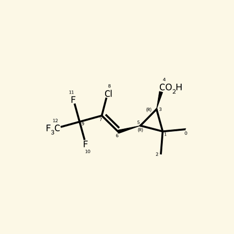 CC1(C)[C@H](C(=O)O)[C@@H]1C=C(Cl)C(F)(F)C(F)(F)F